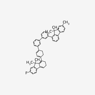 Cc1ccc2c(c1)C(C)(C)c1c(-c3cccc(-c4cccc(C5=CC=C(C6=C7C(=CCC6)c6ccc(F)cc6C7(C)C)CC5)c4)c3)cccc1-2